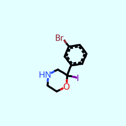 Brc1cccc(C2(I)CNCCO2)c1